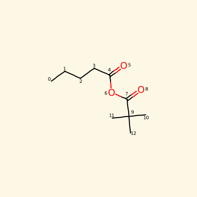 CCCCC(=O)OC(=O)C(C)(C)C